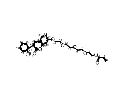 C=CC(=O)OCCOCCOCCOCCOc1cc2oc(=O)c(-c3ccccc3C(F)(F)F)cc2cn1